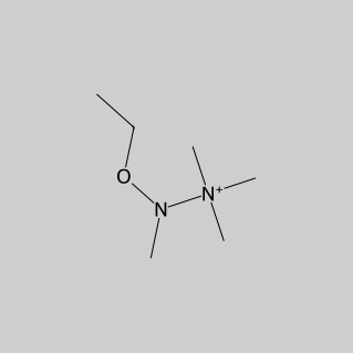 CCON(C)[N+](C)(C)C